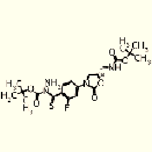 CC(C)(C)OC(=O)NC[C@H]1CN(c2ccc(C(=S)N(N)C(=O)OC(C)(C)C)c(F)c2)C(=O)O1